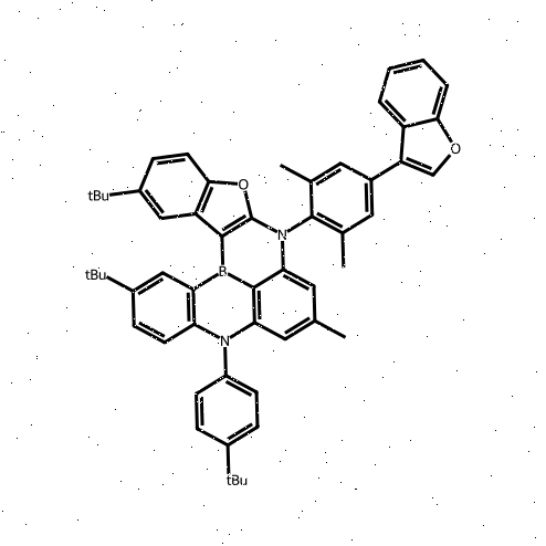 Cc1cc2c3c(c1)N(c1c(C)cc(-c4coc5ccccc45)cc1C)c1oc4ccc(C(C)(C)C)cc4c1B3c1cc(C(C)(C)C)ccc1N2c1ccc(C(C)(C)C)cc1